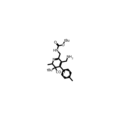 Cc1ccc(C2=C(CN)C(CNC(=O)OC(C)(C)C)=NC(C)C2(C(=O)O)C(C)(C)C)cc1